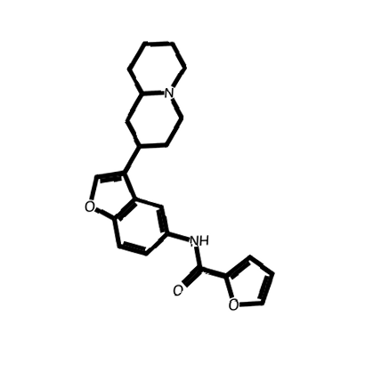 O=C(Nc1ccc2occ(C3CCN4CCCCC4C3)c2c1)c1ccco1